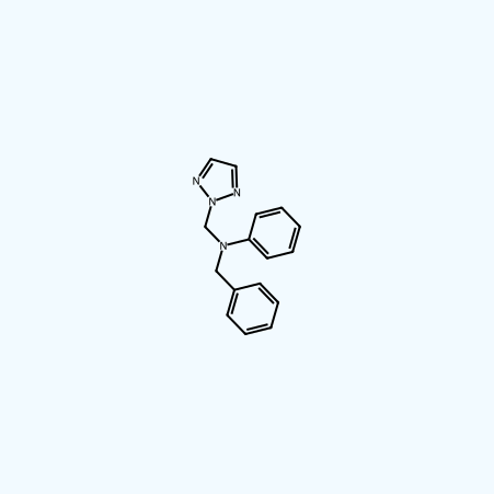 c1ccc(CN(Cn2nccn2)c2ccccc2)cc1